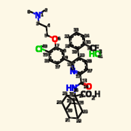 CN(C)CCCOc1cc(-c2nc(C(=O)NC3(C(=O)O)C4CC5CC(C4)CC3C5)ccc2-c2ccccc2C(F)(F)F)ccc1Cl.Cl